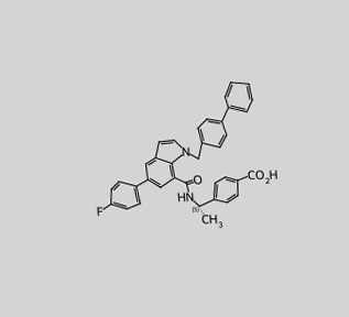 C[C@H](NC(=O)c1cc(-c2ccc(F)cc2)cc2ccn(Cc3ccc(-c4ccccc4)cc3)c12)c1ccc(C(=O)O)cc1